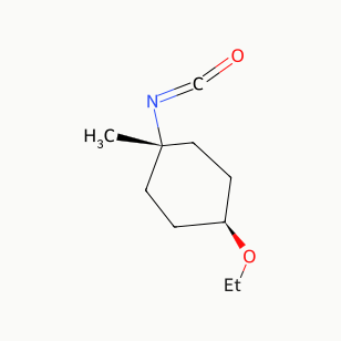 CCO[C@H]1CC[C@](C)(N=C=O)CC1